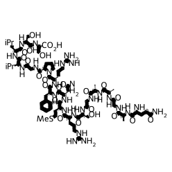 CSCC[C@H](NC(=O)[C@H](CCCNC(=N)N)NC(=O)[C@H](CO)NC(=O)CNC(=O)[C@H](C)NC(=O)[C@H](C)NC(=O)CNC(=O)[C@H](C)NC(=O)[C@@H](N)CCC(N)=O)C(=O)N[C@@H](CC(N)=O)C(=O)N[C@@H](Cc1ccccc1)C(=O)N[C@@H](CCCNC(=N)N)C(=O)N1CCC[C@H]1C(=O)NCC(=O)N[C@H](C(=O)N[C@@H](CC(C)C)C(=O)N[C@@H](CO)C(=O)N[C@@H](CO)C(=O)O)C(C)C